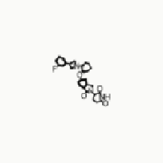 O=C1CCC(N2Cc3cc(O[C@H]4CCCC[C@H]4N4CC(c5cccc(F)c5)C4)ccc3C2=O)C(=O)N1